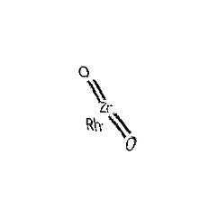 [O]=[Zr]=[O].[Rh]